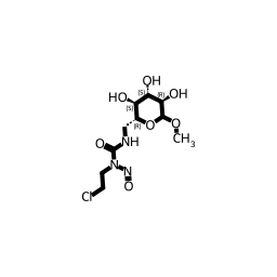 COC1O[C@H](CNC(=O)N(CCCl)N=O)[C@@H](O)[C@H](O)[C@H]1O